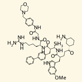 COc1ccc2[nH]cc(C[C@H](CCC(=O)[C@H]3CCC[C@H](N)C3)C(=O)NC([SiH3])[C@@H](Cc3ccc(-c4ccccc4)cc3)C(=O)N[C@@H](CCCCNC(=N)N)C(=O)NCC(=O)Nc3ccc(CN4CCOCC4)cc3)c2c1